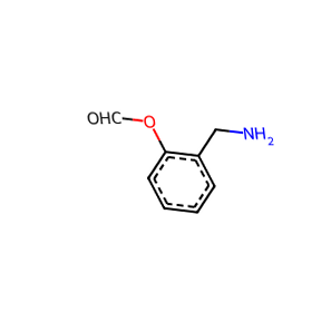 NCc1ccccc1OC=O